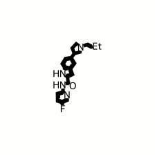 CCC=CN1CCC(c2ccc3[nH]c(C(=O)Nc4ccc(F)cn4)cc3c2)C1